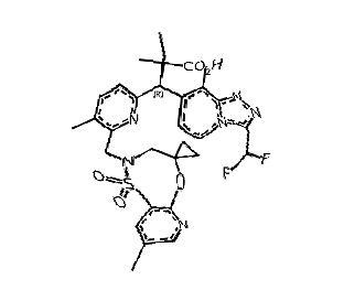 Cc1cnc2c(c1)S(=O)(=O)N(Cc1nc([C@H](c3ccn4c(C(F)F)nnc4c3C)C(C)(C)C(=O)O)ccc1C)CC1(CC1)O2